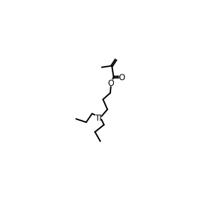 C=C(C)C(=O)OCC[CH2][Tl]([CH2]CC)[CH2]CC